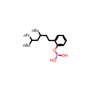 CCCCC(CCC)CC(CCCC)CCc1ccccc1OP(O)O